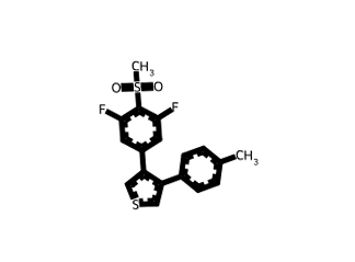 Cc1ccc(-c2cscc2-c2cc(F)c(S(C)(=O)=O)c(F)c2)cc1